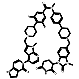 CN(C(=O)c1cc(F)c(C2CCN(Cc3cc4c(-n5ccc6c(c5=O)CCN6)ccnc4n3C)CC2)c(F)c1)c1ccc(C2CCN(Cc3ccc4c(c3)n(C)c(=O)n4C3CCC(=O)NC3=O)CC2)cc1